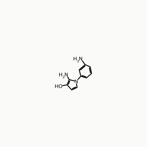 Nc1cccc(-n2ccc(O)c2N)c1